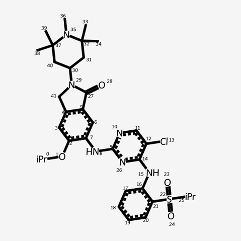 CC(C)Oc1cc2c(cc1Nc1ncc(Cl)c(Nc3ccccc3S(=O)(=O)C(C)C)n1)C(=O)N(C1CC(C)(C)N(C)C(C)(C)C1)C2